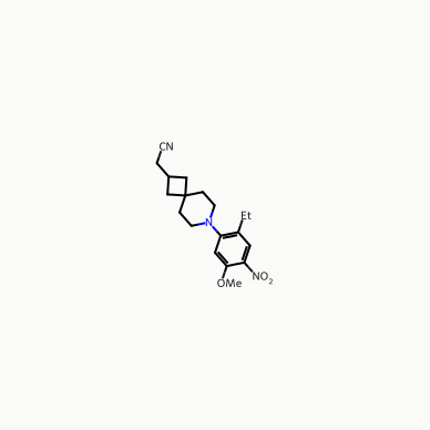 CCc1cc([N+](=O)[O-])c(OC)cc1N1CCC2(CC1)CC(CC#N)C2